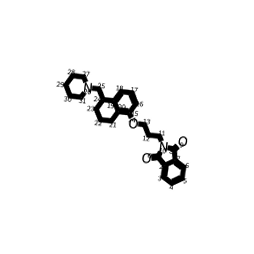 O=C1c2ccccc2C(=O)N1CCCOc1cccc2c1CCCC2CN1CCCCC1